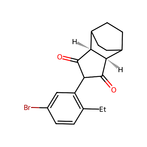 CCc1ccc(Br)cc1C1C(=O)[C@@H]2C3CCC(CC3)[C@@H]2C1=O